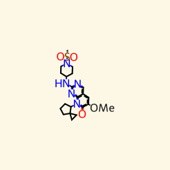 COc1cc2cnc(NC3CCN(S(C)(=O)=O)CC3)nc2n(C2CCCC23CC3)c1=O